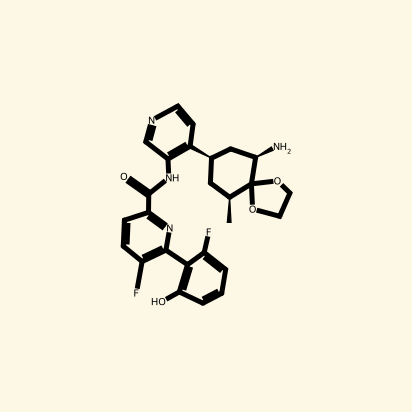 C[C@H]1C[C@@H](c2ccncc2NC(=O)c2ccc(F)c(-c3c(O)cccc3F)n2)C[C@@H](N)C12OCCO2